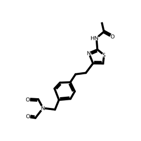 CC(=O)Nc1nc(CCc2ccc(CN(C=O)C=O)cc2)cs1